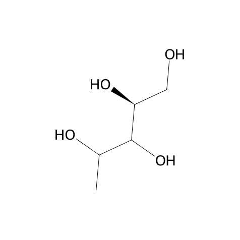 CC(O)C(O)[C@@H](O)CO